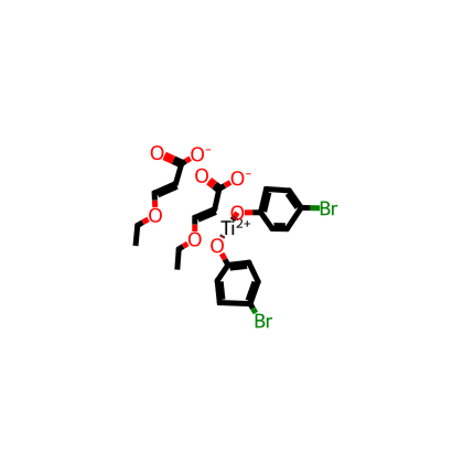 Brc1ccc([O][Ti+2][O]c2ccc(Br)cc2)cc1.CCOC=CC(=O)[O-].CCOC=CC(=O)[O-]